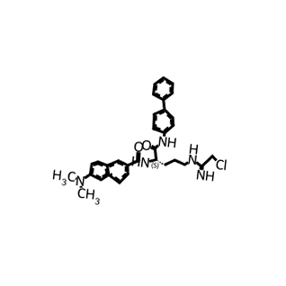 CN(C)c1ccc2cc(C(=O)N[C@@H](CCCNC(=N)CCl)C(=O)Nc3ccc(-c4ccccc4)cc3)ccc2c1